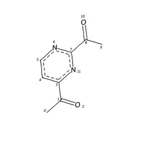 CC(=O)c1ccnc(C(C)=O)n1